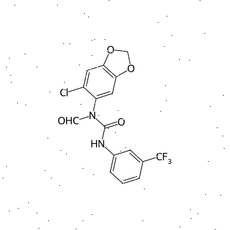 O=CN(C(=O)Nc1cccc(C(F)(F)F)c1)c1cc2c(cc1Cl)OCO2